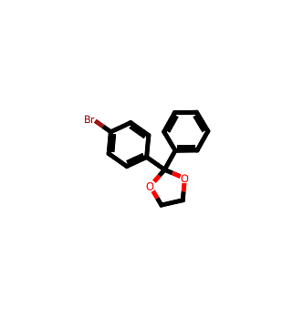 Brc1ccc(C2(c3ccccc3)OCCO2)cc1